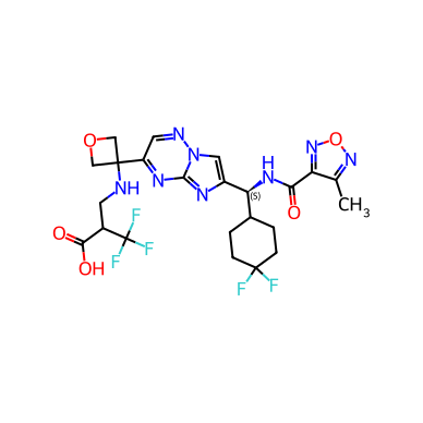 Cc1nonc1C(=O)N[C@H](c1cn2ncc(C3(NCC(C(=O)O)C(F)(F)F)COC3)nc2n1)C1CCC(F)(F)CC1